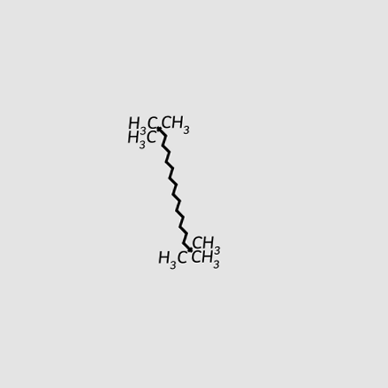 CC(C)(C)CCCCCCCCCCCCCCC(C)(C)C